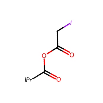 CC(C)C(=O)OC(=O)CI